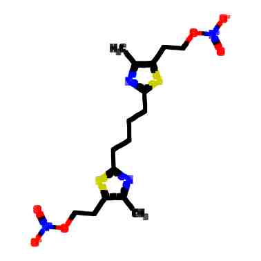 Cc1nc(CCCCc2nc(C)c(CCO[N+](=O)[O-])s2)sc1CCO[N+](=O)[O-]